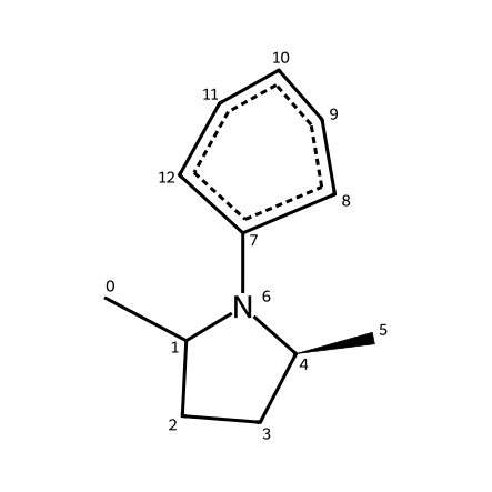 CC1CC[C@H](C)N1c1ccccc1